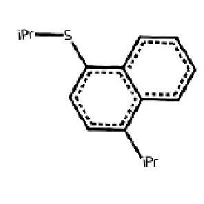 CC(C)Sc1ccc(C(C)C)c2ccccc12